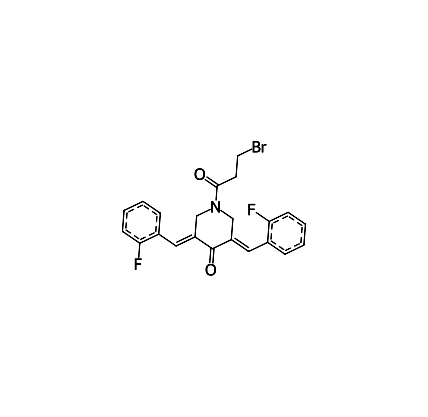 O=C1/C(=C/c2ccccc2F)CN(C(=O)CCBr)C/C1=C\c1ccccc1F